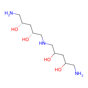 NCC(O)CC(O)CNC[C@H](O)C[C@H](O)CN